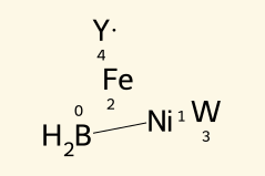 [BH2][Ni].[Fe].[W].[Y]